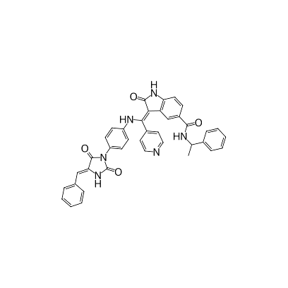 CC(NC(=O)c1ccc2c(c1)/C(=C(/Nc1ccc(N3C(=O)N/C(=C\c4ccccc4)C3=O)cc1)c1ccncc1)C(=O)N2)c1ccccc1